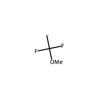 [CH2]C(F)(F)OC